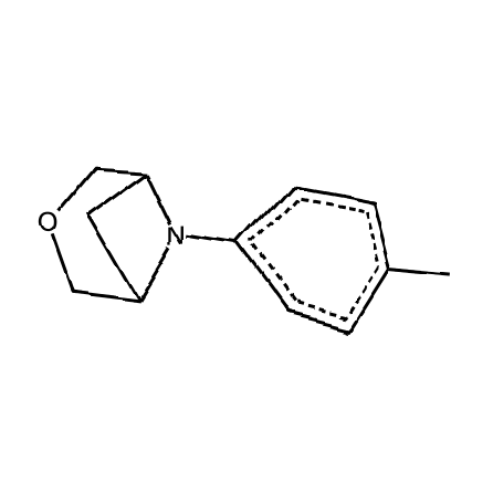 Cc1ccc(N2C3COCC2C3)cc1